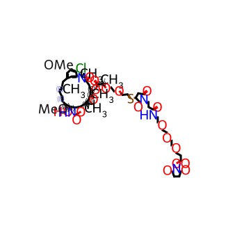 COc1cc2cc(c1Cl)N(C)C(=O)C[C@H](OC(=O)[C@H](C)OCCOCCSC1CC(=O)N(CCC(=O)NCCOCCOCCOCCC(=O)ON3C(=O)CCC3=O)C1=O)[C@]1(C)O[C@H]1[C@H](C)C1C[C@@](O)(NC(=O)O1)[C@H](OC)/C=C/C=C(\C)C2